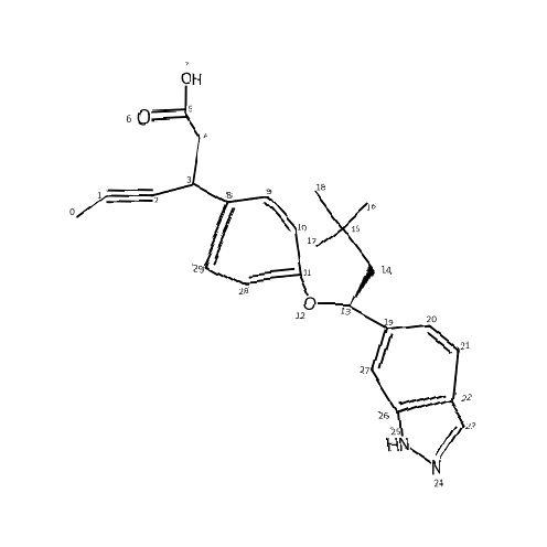 CC#CC(CC(=O)O)c1ccc(O[C@@H](CC(C)(C)C)c2ccc3cn[nH]c3c2)cc1